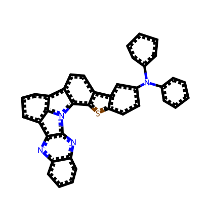 c1ccc(N(c2ccccc2)c2ccc3sc4c(ccc5c6cccc7c8nc9ccccc9nc8n(c67)c54)c3c2)cc1